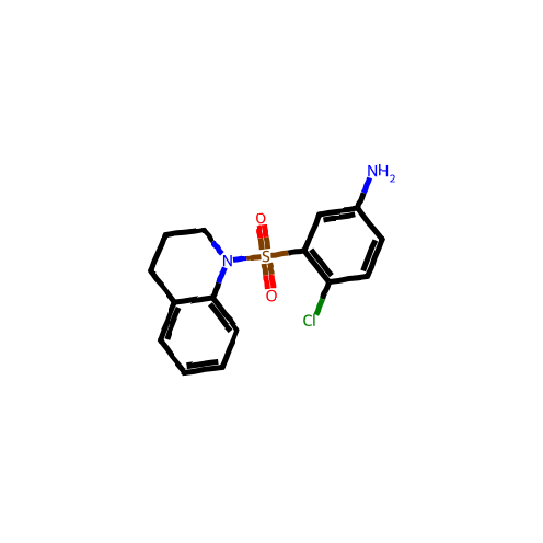 Nc1ccc(Cl)c(S(=O)(=O)N2CCCc3ccccc32)c1